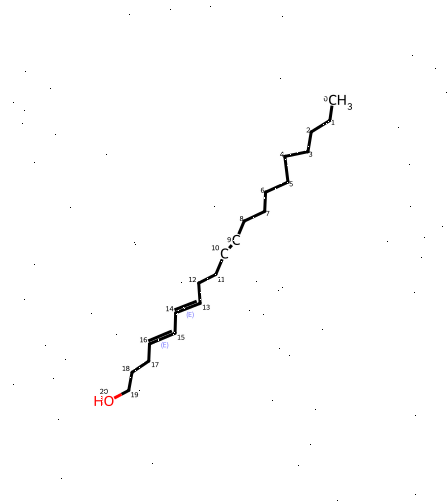 CCCCCCCCCCCCC/C=C/C=C/CCCO